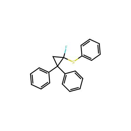 FC1(Sc2ccccc2)CC1(c1ccccc1)c1ccccc1